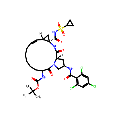 CC(C)(C)OC(=O)N[C@H]1CCCCC/C=C\[C@@H]2C[C@@]2(C(=O)NS(=O)(=O)C2CC2)NC(=O)[C@@H]2C[C@@H](NC(=O)c3c(Cl)cc(Cl)cc3Cl)CN2C1=O